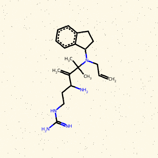 C=CCN(C1CCc2ccccc21)C(C)(C)C(=C)C(N)CCNC(=N)N